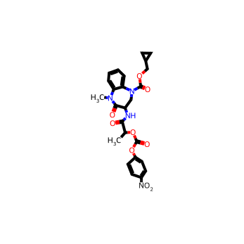 CC(OC(=O)Oc1ccc([N+](=O)[O-])cc1)C(=O)NC1CN(C(=O)OCC2CC2)c2ccccc2N(C)C1=O